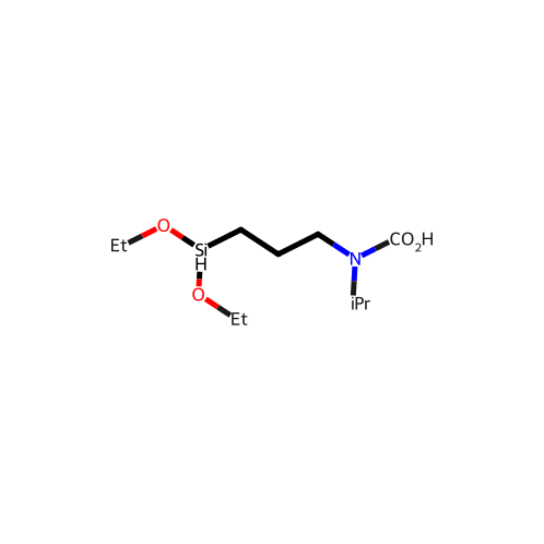 CCO[SiH](CCCN(C(=O)O)C(C)C)OCC